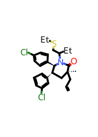 C=CC[C@@]1(C)C[C@H](c2cccc(Cl)c2)[C@@H](c2ccc(Cl)cc2)N(C(CC)CSCC)C1=O